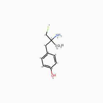 NC(CF)(Cc1ccc(O)cc1)C(=O)O